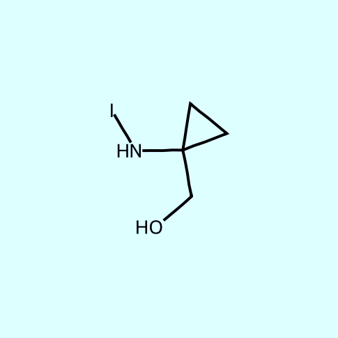 OCC1(NI)CC1